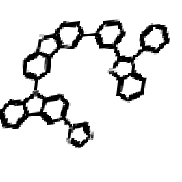 c1ccc(-c2c(-c3cccc(-c4ccc5oc6ccc(-n7c8ccccc8c8cc(-n9cncn9)ccc87)cc6c5c4)c3)oc3ccccc23)cc1